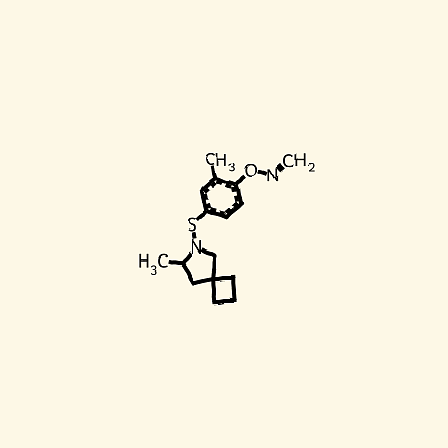 C=NOc1ccc(SN2CC3(CCC3)CC2C)cc1C